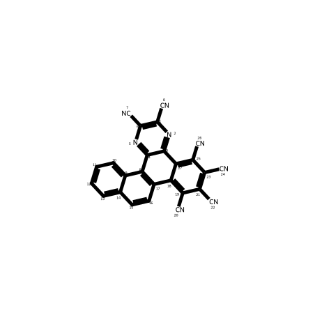 N#Cc1nc2c(nc1C#N)c1c3ccccc3ccc1c1c(C#N)c(C#N)c(C#N)c(C#N)c21